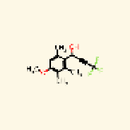 COc1cc(C)c(C(O)C#CC(F)(F)F)c(C)c1C